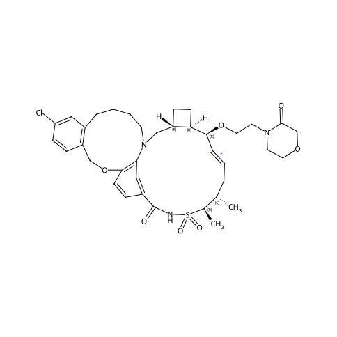 C[C@@H]1[C@@H](C)C/C=C/[C@H](OCCN2CCOCC2=O)[C@@H]2CC[C@H]2CN2CCCCc3cc(Cl)ccc3COc3ccc(cc32)C(=O)NS1(=O)=O